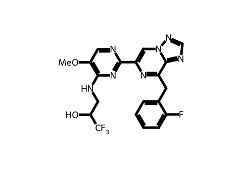 COc1cnc(-c2cn3ncnc3c(Cc3ccccc3F)n2)nc1NCC(O)C(F)(F)F